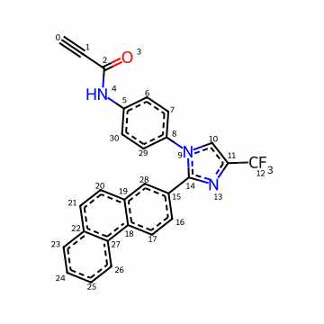 C#CC(=O)Nc1ccc(-n2cc(C(F)(F)F)nc2-c2ccc3c(ccc4ccccc43)c2)cc1